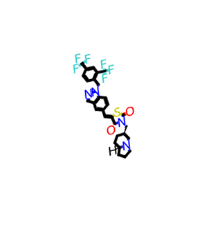 O=C1S/C(=C\c2ccc3c(cnn3Cc3ccc(C(F)(F)F)cc3C(F)(F)F)c2)C(=O)N1C[C@@H]1CC[C@@H]2CCCN2C1